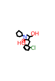 O=C1C(Cc2c(O)cccc2Cl)C(CO)CN1C1CCCCC1